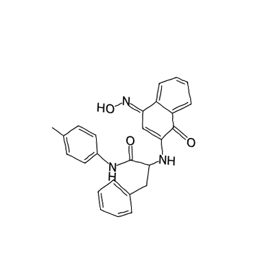 Cc1ccc(NC(=O)C(Cc2ccccc2)NC2=CC(=NO)c3ccccc3C2=O)cc1